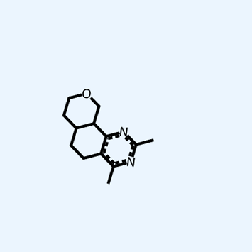 Cc1nc(C)c2c(n1)C1COCCC1CC2